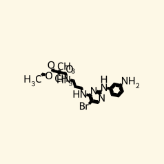 CCOC(=O)C(C)(C)C(=O)NCCCNc1nc(Nc2cccc(N)c2)ncc1Br